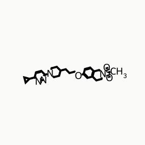 CS(=O)(=O)N1CCc2cc(OCCCC3CCN(c4ccc(C5CC5)nn4)CC3)ccc2C1